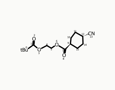 CC(C)(C)C(=O)OCCOC(=O)[C@H]1CC[C@H](C#N)CC1